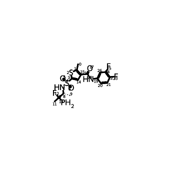 Cc1sc(S(=O)(=O)N[C@H](C)C(C)(F)P)cc1C(=O)Nc1ccc(F)c(F)c1